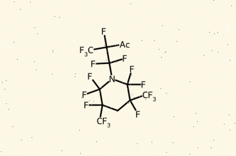 CC(=O)C(F)(C(F)(F)F)C(F)(F)N1C(F)(F)C(F)(C(F)(F)F)CC(F)(C(F)(F)F)C1(F)F